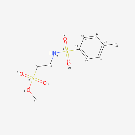 COS(=O)(=O)CCNS(=O)(=O)c1ccc(C)cc1